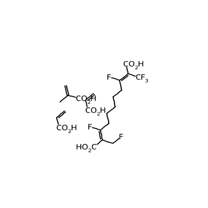 C=C(C)C(=O)O.C=CC(=O)O.C=CC(=O)O.O=C(O)C(CF)=C(F)CCCCCC(F)=C(C(=O)O)C(F)(F)F